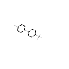 CC(O)(C(=O)O)c1ccc(-c2ccc(I)cc2)cc1